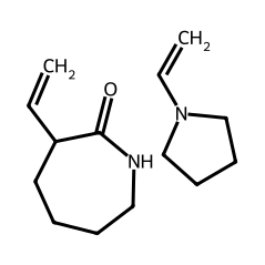 C=CC1CCCCNC1=O.C=CN1CCCC1